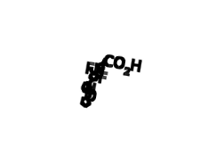 O=C(O)CC1CN(c2c(F)cc(-c3cccc(OC4CCCC4)n3)cc2F)C1